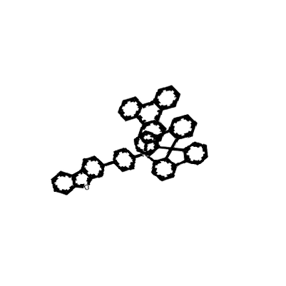 c1ccc2c(c1)-c1ccccc1C21c2ccccc2-c2cccc(N(c3ccc(-c4ccc5c(c4)oc4ccccc45)cc3)c3ccc4c5ccccc5c5ccccc5c4c3)c21